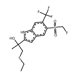 CCSCC(C)(O)c1cc2cc(S(=O)(=O)CF)c(C(F)(F)F)cc2[nH]1